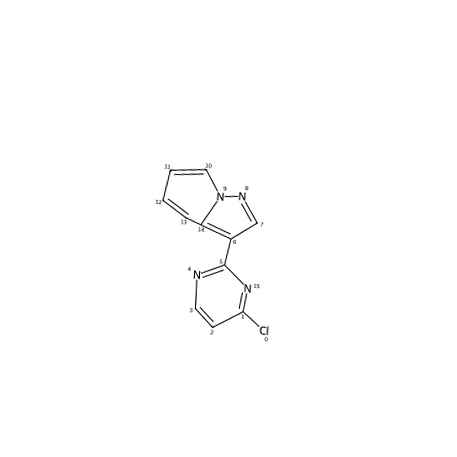 Clc1ccnc(-c2cnn3ccccc23)n1